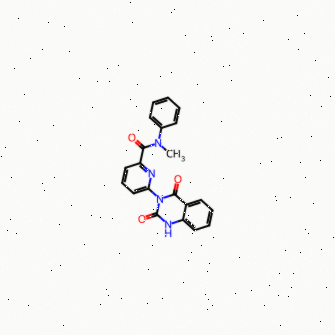 CN(C(=O)c1cccc(-n2c(=O)[nH]c3ccccc3c2=O)n1)c1ccccc1